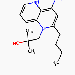 CCCCC1=CC(N)=C2NC=CC=C2N1CC(C)(C)O